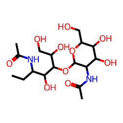 CCC(NC(C)=O)C(O)C(OC1OC(CO)C(O)C(O)C1NC(C)=O)C(O)CO